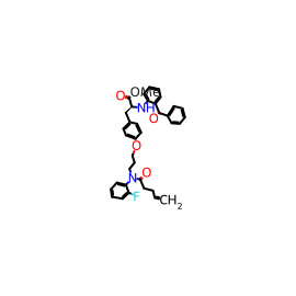 C=CCCC(=O)N(CCCOc1ccc(C[C@H](Nc2ccccc2C(=O)c2ccccc2)C(=O)OC)cc1)c1ccccc1F